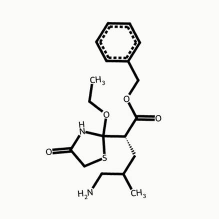 CCOC1([C@@H](CC(C)CN)C(=O)OCc2ccccc2)NC(=O)CS1